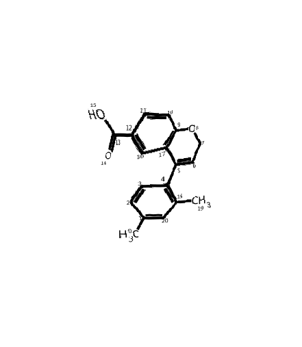 Cc1ccc(C2=CCOc3ccc(C(=O)O)cc32)c(C)c1